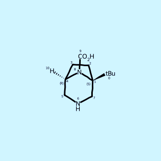 CC(C)(C)[C@@]12CC[C@H](CNC1)N2C(=O)O